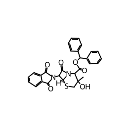 CC1(O)CS[C@H]2C(N3C(=O)c4ccccc4C3=O)C(=O)N2C1C(=O)OC(c1ccccc1)c1ccccc1